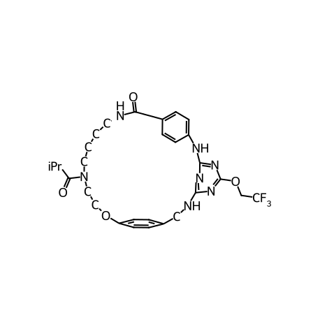 CC(C)C(=O)N1CCCCNC(=O)c2ccc(cc2)Nc2nc(nc(OCC(F)(F)F)n2)NCc2ccc(cc2)OCC1